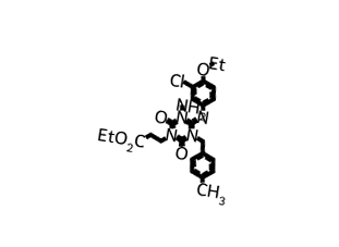 CCOC(=O)CCn1c(=O)n(N)/c(=N\c2ccc(OCC)c(Cl)c2)n(Cc2ccc(C)cc2)c1=O